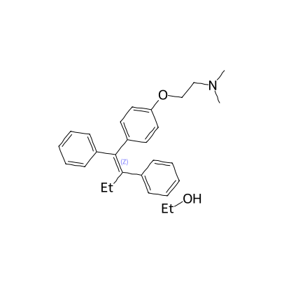 CC/C(=C(\c1ccccc1)c1ccc(OCCN(C)C)cc1)c1ccccc1.CCO